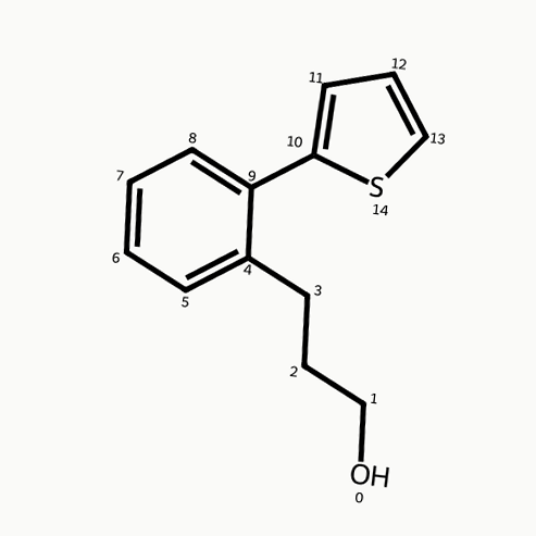 OCCCc1ccccc1-c1cccs1